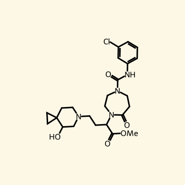 COC(=O)C(CCN1CCC2(CC2)C(O)C1)N1CCN(C(=O)Nc2cccc(Cl)c2)CCC1=O